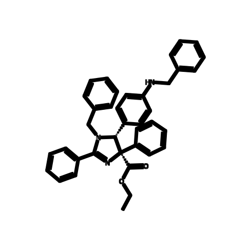 CCOC(=O)[C@]1(c2ccccc2)N=C(c2ccccc2)N(Cc2ccccc2)[C@@H]1c1ccc(NCc2ccccc2)cc1